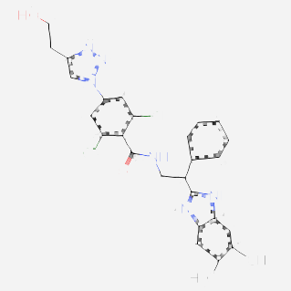 Cc1cc2nc(C(CNC(=O)c3c(Cl)cc(-n4cc(CCO)nn4)cc3Cl)c3ccccc3)[nH]c2cc1C